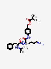 CC(C)N[C@@H](Cc1ccccc1)C(=O)N[C@@H](CCCCN)C(=O)Nc1ccc(COC(=O)C(C)C)cc1